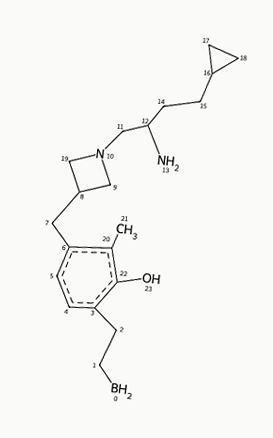 BCCc1ccc(CC2CN(CC(N)CCC3CC3)C2)c(C)c1O